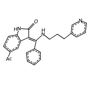 CC(=O)c1ccc2c(c1)/C(=C(/NCCCc1cccnc1)c1ccccc1)C(=O)N2